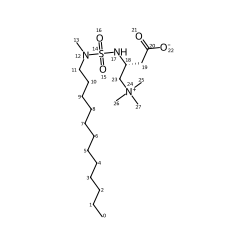 CCCCCCCCCCCCN(C)S(=O)(=O)N[C@H](CC(=O)[O-])C[N+](C)(C)C